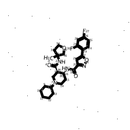 CC1(NC(=O)[C@@H]2CN(C3CCCCC3)CC[C@H]2NC(=O)c2cc(-c3ccc(F)cc3F)on2)CCOC1